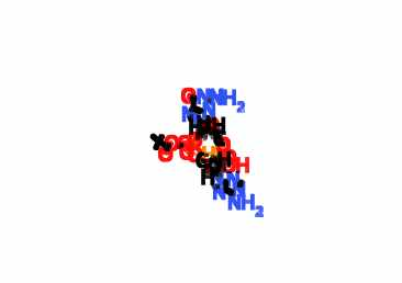 CO[C@H]1[C@H]2OP(=O)(OCOC(=O)C(C)(C)C)OCC34C=C[C@@H]3[C@@H](n3cnc5c(N)ncnc53)[C@H](O)[C@@H]4[PH](=O)OC[C@H]1O[C@H]2n1cnc2c(=O)[nH]c(N)nc21